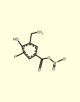 CCc1cc(C(=O)O[N+](=O)[O-])cc(F)c1O